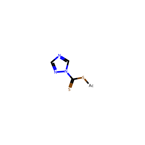 CC(=O)SC(=S)n1cncn1